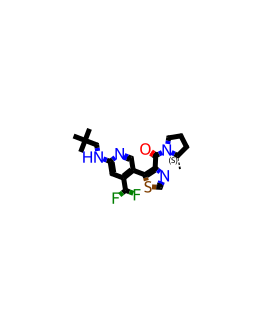 C[C@H]1CCCN1C(=O)c1ncsc1-c1cnc(NCC(C)(C)C)cc1C(F)F